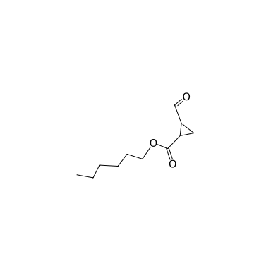 CCCCCCOC(=O)C1CC1C=O